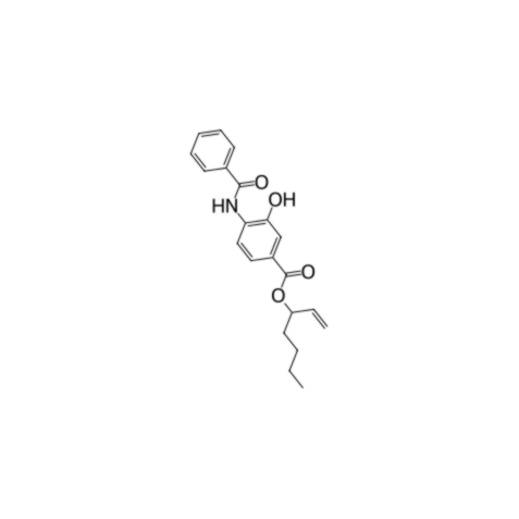 C=CC(CCCC)OC(=O)c1ccc(NC(=O)c2ccccc2)c(O)c1